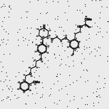 C=C(NCCc1ccc(F)cc1OCCO[C@H]1CNCC[C@@H]1c1ccc(OCCCOCc2ccccc2OC)cc1)OC